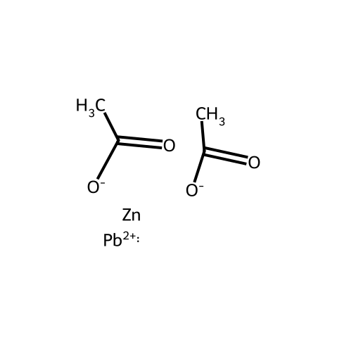 CC(=O)[O-].CC(=O)[O-].[Pb+2].[Zn]